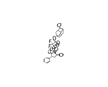 O=C1C2CC3CC1CC(OC(=O)C(F)(F)S(=O)(=O)ON1C(=O)CC(c4ccccc4)C1=O)(C3)C2